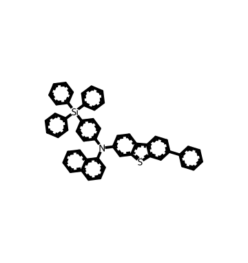 c1ccc(-c2ccc3c(c2)sc2cc(N(c4ccc([Si](c5ccccc5)(c5ccccc5)c5ccccc5)cc4)c4cccc5ccccc45)ccc23)cc1